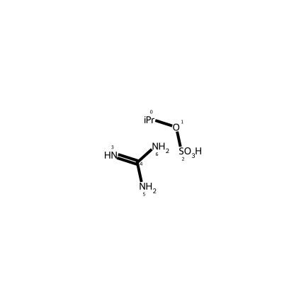 CC(C)OS(=O)(=O)O.N=C(N)N